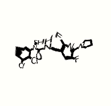 O=C(NCc1cc(F)c(N2CCCC2)nc1F)N(S)c1cccc(Cl)c1Cl